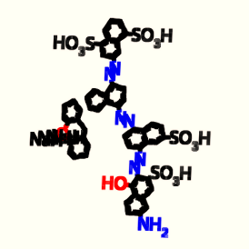 Nc1ccc2c(O)c(/N=N/c3ccc(/N=N/c4ccc(/N=N/c5cc(S(=O)(=O)O)c6cccc(S(=O)(=O)O)c6c5)c5ccccc45)c4ccc(S(=O)(=O)O)cc34)c(S(=O)(=O)O)cc2c1.[NaH].[NaH].[NaH].[NaH].c1ccc2c(c1)Cc1ccccc1O2